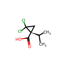 CC(C)[C@]1(C(=O)O)CC1(Cl)Cl